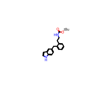 CC(C)(C)OC(=O)NCCc1ccccc1Cc1ccc2[nH]ccc2c1